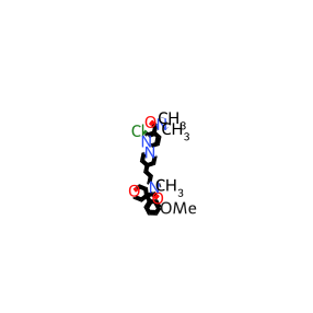 COc1cccc(C2(C(=O)N(C)CCCC3CCN(c4ccc(C(=O)N(C)C)c(Cl)n4)CC3)CCOCC2)c1